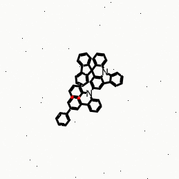 c1ccc(-c2cccc(-c3ccccc3N(c3ccccc3)c3cc4c5c(c3)c3ccccc3n5-c3ccccc3C43c4ccccc4-c4ccccc43)c2)cc1